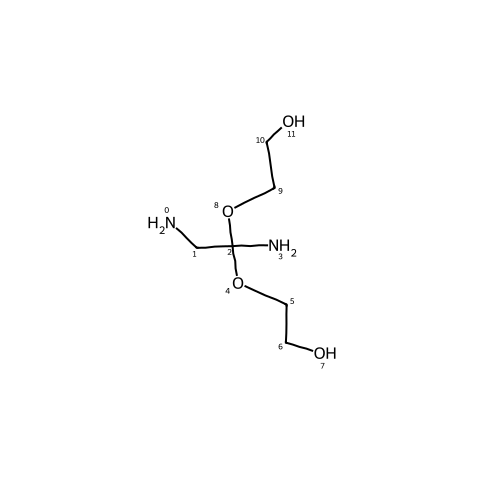 NCC(N)(OCCO)OCCO